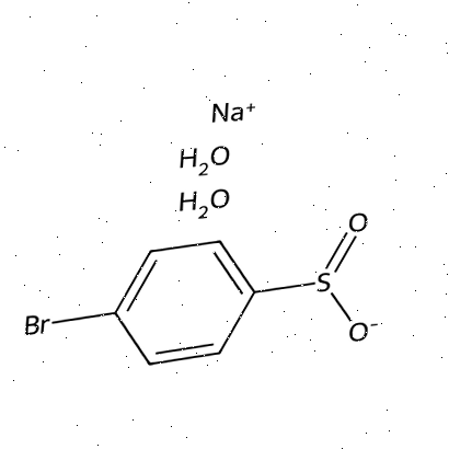 O.O.O=S([O-])c1ccc(Br)cc1.[Na+]